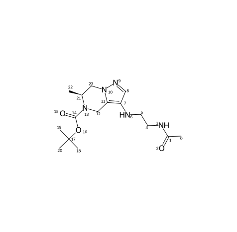 CC(=O)NCCNc1cnn2c1CN(C(=O)OC(C)(C)C)[C@@H](C)C2